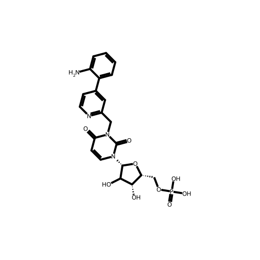 Nc1ccccc1-c1ccnc(Cn2c(=O)ccn([C@@H]3O[C@H](COP(=O)(O)O)[C@H](O)C3O)c2=O)c1